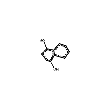 Oc1ccc(O)c2[c]cc[c]c12